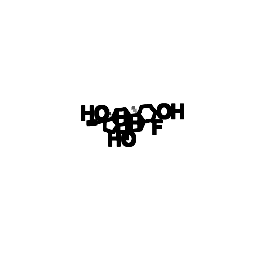 C#C[C@]1(O)CC[C@H]2[C@@H]3[C@H](O)C=C4[C@@H](F)[C@H](O)CC[C@]4(C)[C@H]3CC[C@@]21C